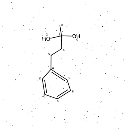 CC(O)(O)CCc1ccccc1